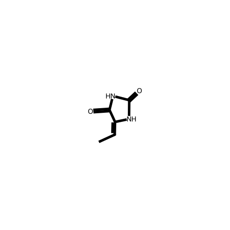 C/C=C1/NC(=O)NC1=O